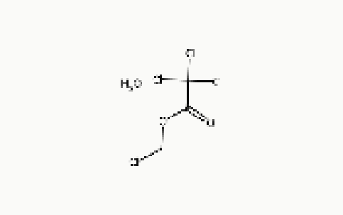 O.O=C(OCCl)C(Cl)(Cl)Cl